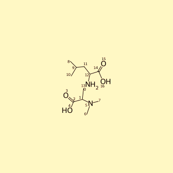 CC(C(=O)O)N(C)C.CC(C)CC(N)C(=O)O